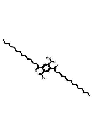 CCCCCCCCCCCCCC(=O)c1cc(C(=O)O)c(C(=O)CCCCCCCCCCCCC)cc1C(=O)O